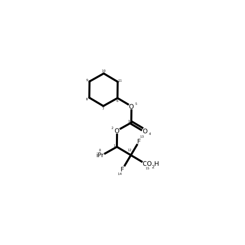 CC(C)C(OC(=O)OC1CCCCC1)C(F)(F)C(=O)O